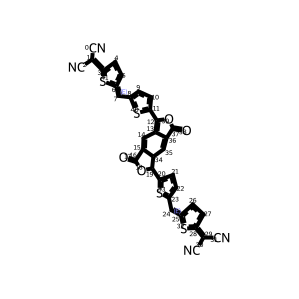 N#CC(C#N)=c1cc/c(=C\c2ccc(C3=C4C=C5C(=O)OC(c6ccc(/C=c7\ccc(=C(C#N)C#N)s7)s6)C5C=C4C(=O)O3)s2)s1